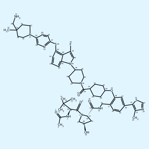 CC(=O)N[C@H](C(=O)N1C[C@H](O)C[C@H]1C(=O)NCc1ccc(-c2scnc2C)cc1OC1CCC(C(=O)N2CCC(n3cc(F)c4c(Sc5cnc(N6CCC(C)(CN)CC6)cn5)cccc43)CC2)CC1)C(C)(C)C